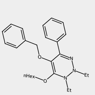 CCCCCCOC1=C(OCc2ccccc2)C(c2ccccc2)=NN(CC)N1CC